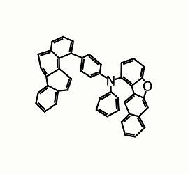 c1ccc(N(c2ccc(-c3cccc4ccc5c6ccccc6ccc5c34)cc2)c2cccc3oc4cc5ccccc5cc4c23)cc1